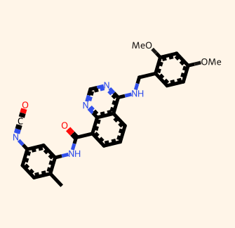 COc1ccc(CNc2ncnc3c(C(=O)Nc4cc(N=C=O)ccc4C)cccc23)c(OC)c1